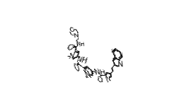 Cn1cc(NC(=O)c2cc(NC(=O)c3cc(/C=C/c4cnc5ccccc5c4)cn3C)cn2C)cc1C(=O)NCCN1CCOCC1